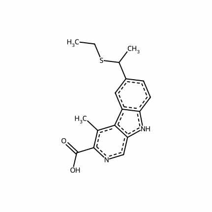 CCSC(C)c1ccc2[nH]c3cnc(C(=O)O)c(C)c3c2c1